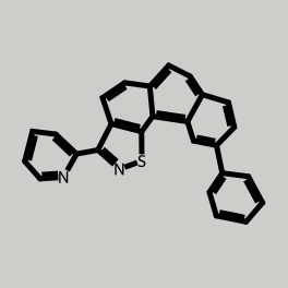 c1ccc(-c2ccc3ccc4ccc5c(-c6ccccn6)nsc5c4c3c2)cc1